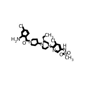 CC[C@H]1CN(c2ncc(NS(C)(=O)=O)cc2Cl)CCN1C1CCN(C(=O)c2ccc(Cl)cc2N)CC1